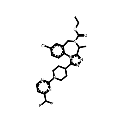 CCOC(=O)N1Cc2cc(Cl)ccc2-n2c(C3CCN(c4nccc(C(F)F)n4)CC3)nnc2C1C